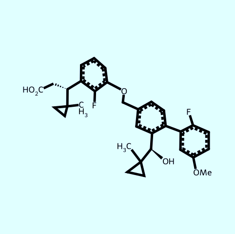 COc1ccc(F)c(-c2ccc(COc3cccc([C@@H](CC(=O)O)C4(C)CC4)c3F)cc2[C@@H](O)C2(C)CC2)c1